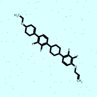 C=CCOc1ccc(C2CCC(c3ccc(C4=CCC(OCC)CC4)c(F)c3F)CC2)c(F)c1F